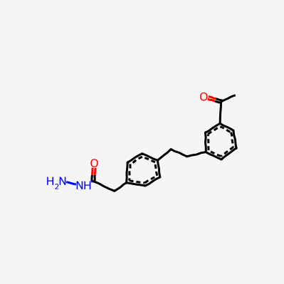 CC(=O)c1cccc(CCc2ccc(CC(=O)NN)cc2)c1